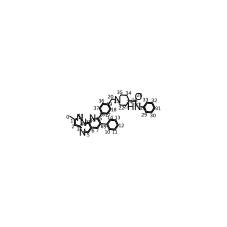 Cc1cc2ncc3cc(-c4ccccc4)c(-c4ccc(CN5CCC(C(=O)Nc6ccccc6)CC5)cc4)nc3n2n1